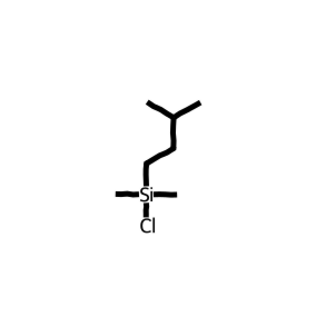 CC(C)CC[Si](C)(C)Cl